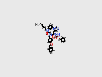 CCCCCN(C(=O)CN(Cc1ccc(OCc2ccccc2)cc1)C(=O)C(Cc1cnc[nH]1)NC(=O)OCc1ccccc1)c1ccccc1